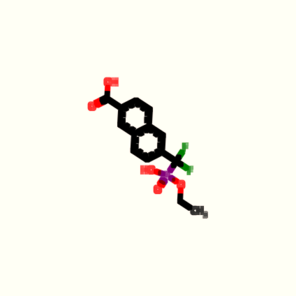 CCOP(=O)(O)C(F)(F)c1ccc2cc(C(=O)O)ccc2c1